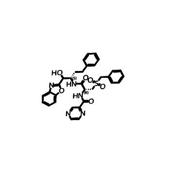 O=C(N[C@@H](CS(=O)(=O)Cc1ccccc1)C(=O)N[C@@H](CCc1ccccc1)C(O)c1nc2ccccc2o1)c1cnccn1